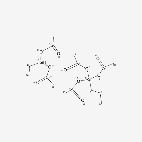 CCC[Si](OC(C)=O)(OC(C)=O)OC(C)=O.CC[SiH](OC(C)=O)OC(C)=O